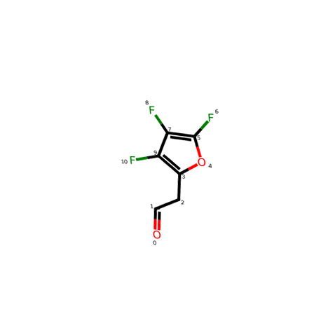 O=[C]Cc1oc(F)c(F)c1F